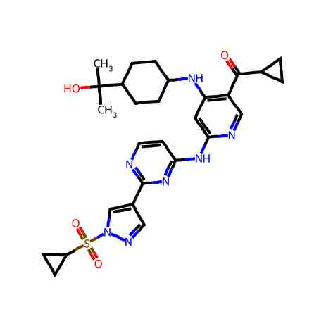 CC(C)(O)C1CCC(Nc2cc(Nc3ccnc(-c4cnn(S(=O)(=O)C5CC5)c4)n3)ncc2C(=O)C2CC2)CC1